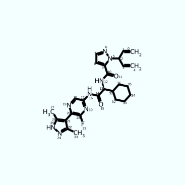 C=CC(C=C)n1nccc1C(=O)N[C@H](C(=O)Nc1cnc(-c2c(C)n[nH]c2C)c(F)n1)C1CCCCC1